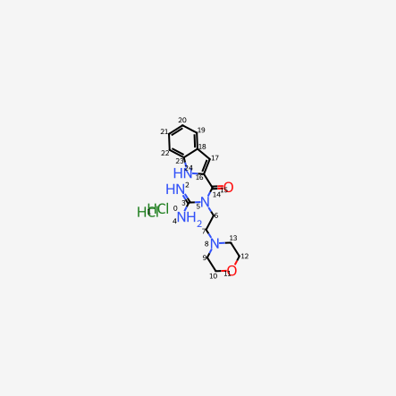 Cl.Cl.N=C(N)N(CCN1CCOCC1)C(=O)c1cc2ccccc2[nH]1